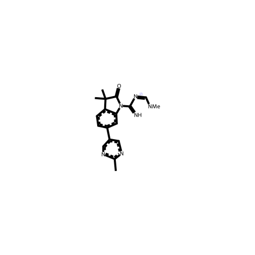 CN/C=N\C(=N)N1C(=O)C(C)(C)c2ccc(-c3cnc(C)nc3)cc21